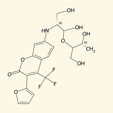 C[C@@H](O)C(CO)OC(O)[C@@H](CO)Nc1ccc2c(C(F)(F)F)c(-c3ccco3)c(=O)oc2c1